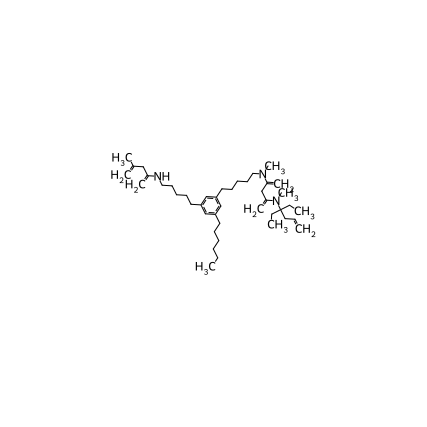 C=CCC(CC)(CC)N(C)C(=C)CC(=C)N(C)CCCCCc1cc(CCCCCC)cc(CCCCCNC(=C)CC(=C)C)c1